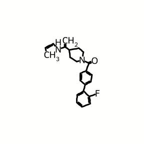 C=C(N/C=C\C)C1CCN(C(=O)c2ccc(-c3ccccc3F)cc2)CC1